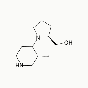 C[C@@H]1CNCCC1N1CCC[C@H]1CO